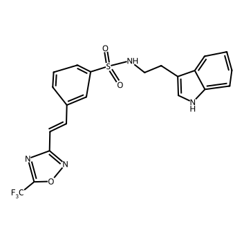 O=S(=O)(NCCc1c[nH]c2ccccc12)c1cccc(/C=C/c2noc(C(F)(F)F)n2)c1